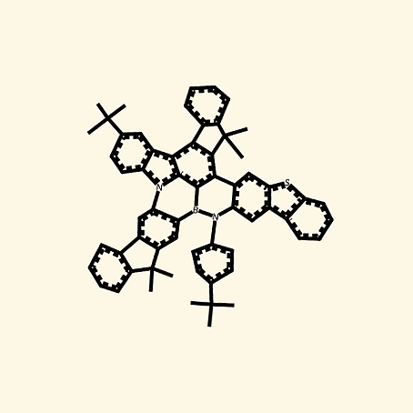 CC(C)(C)c1ccc(N2B3c4cc5c(cc4-n4c6ccc(C(C)(C)C)cc6c6c7c(c(c3c64)-c3cc4sc6ccccc6c4cc32)C(C)(C)c2ccccc2-7)-c2ccccc2C5(C)C)cc1